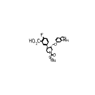 CC(C)(C)OC(=O)N1CC[C@@H](c2ccc(F)c(C(=O)O)c2)[C@H](COc2ccc3cn[nH]c3c2)C1